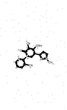 COc1c(-c2ccn(C)n2)cn(-c2ncccc2C#N)c(=O)c1C#N